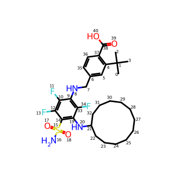 CC(C)(C)c1cc(CNc2c(F)c(F)c(S(N)(=O)=O)c(NC3CCCCCCCCCCC3)c2F)ccc1C(=O)O